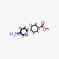 COC(=O)[C@H]1CC[C@H](c2ccc(N)cn2)CC1